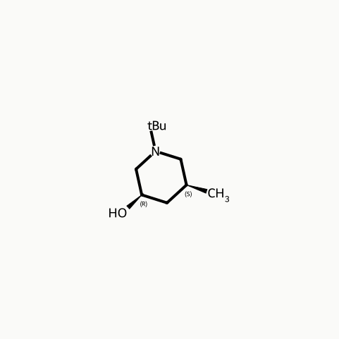 C[C@H]1C[C@@H](O)CN(C(C)(C)C)C1